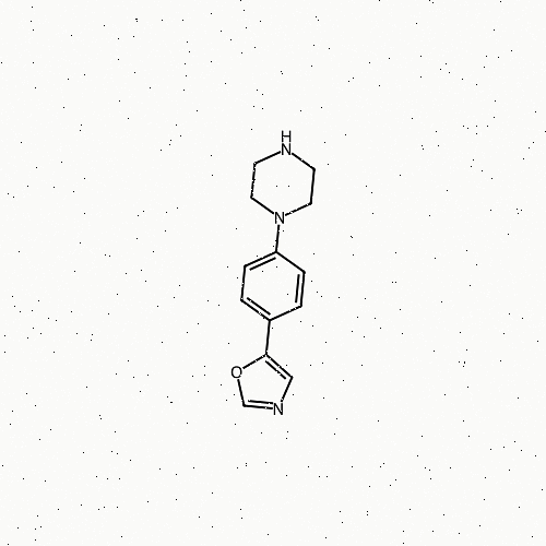 c1ncc(-c2ccc(N3CCNCC3)cc2)o1